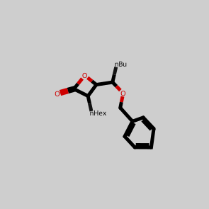 CCCCCCC1C(=O)OC1C(CCCC)OCc1ccccc1